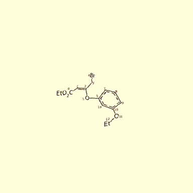 CCOC(=O)/C=C(/CBr)Oc1cccc(OCC)c1